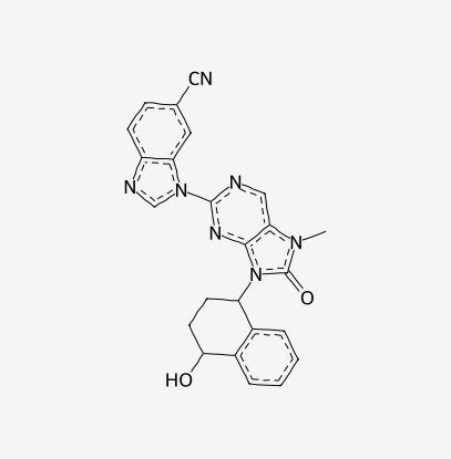 Cn1c(=O)n(C2CCC(O)c3ccccc32)c2nc(-n3cnc4ccc(C#N)cc43)ncc21